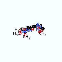 CCO[C@H]1C[C@@H](c2nc3ccc4cc5c(cc4c3[nH]2)OCc2cc(-c3cnc([C@@H]4CCCN4C(=O)[C@H](CC(=O)OC)c4ccccc4)[nH]3)ccc2-5)N(C(=O)[C@@H](NC(=O)OC)C(C)C)C1